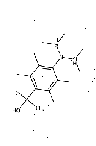 Cc1c(C)c(C(C)(O)C(F)(F)F)c(C)c(C)c1N([SiH](C)C)[SiH](C)C